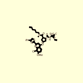 C=CCCCCN(C)C(=O)C1C[C@H](Oc2cc(-c3nc(C(C)C)cs3)nc3c(Cl)c(OC)ccc23)C[C@H]1C(=O)N[C@]1(C(=O)OCC)C[C@H]1C=C